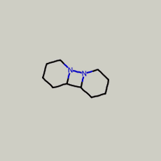 C1CCN2C(C1)C1CCCCN12